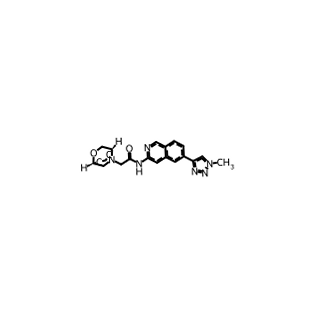 Cn1cc(-c2ccc3cnc(NC(=O)CN4C[C@H]5CCC[C@@H]4CO5)cc3c2)nn1